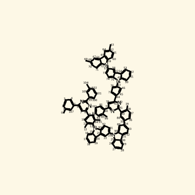 Cc1cccc(-c2cc(-c3cc(C)c(-n4c5ccccc5c5cc(-n6c7ccccc7c7ccc(-c8ccc(C)c(-c9nc(-c%10ccc(-n%11c%12ccccc%12c%12cc(-n%13c%14ccc(C)cc%14c%14cc(C)ccc%14%13)ccc%12%11)cc%10)cc(-c%10ccccc%10C)n9)c8)cc76)ccc54)c(C)c3)nc(-c3cccc(C)c3)n2)c1